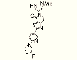 CN/C=C(\C=N)N1CCc2nc(-c3ccc(N4CCCC(F)C4)nc3)sc2C1=O